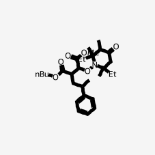 CCCCOC(=O)C(CC(C)c1ccccc1)C(ON1C(C)(CC)CC(=O)C(C)C1(C)CC)C(=O)OC